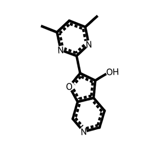 Cc1cc(C)nc(-c2oc3cnccc3c2O)n1